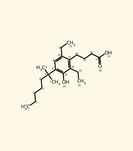 CCCCCC(C)(C)c1cc(CC)c(CCCC(=O)O)c(CC)c1O